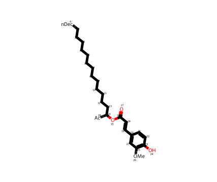 CCCCCCCCCCCCCCCCCCCCCCCC(OC(=O)C=Cc1ccc(O)c(OC)c1)C(C)=O